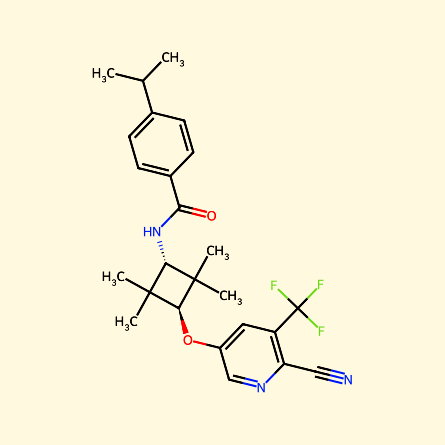 CC(C)c1ccc(C(=O)N[C@H]2C(C)(C)[C@H](Oc3cnc(C#N)c(C(F)(F)F)c3)C2(C)C)cc1